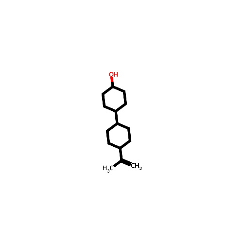 C=C(C)C1CCC(C2CCC(O)CC2)CC1